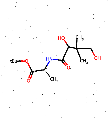 C[C@@H](NC(=O)C(O)C(C)(C)CO)C(=O)OC(C)(C)C